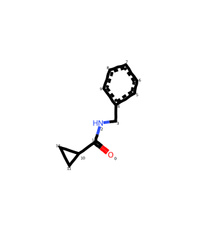 O=C(NCc1ccccc1)C1CC1